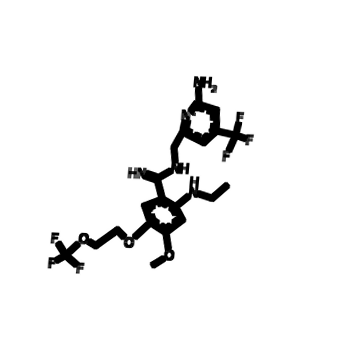 CCNc1cc(OC)c(OCCOC(F)(F)F)cc1C(=N)NCc1cc(C(F)(F)F)cc(N)n1